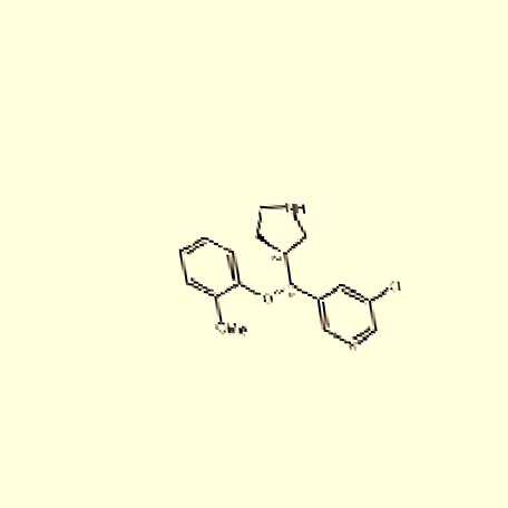 COc1ccccc1O[C@@H](c1cncc(Cl)c1)[C@H]1CCNC1